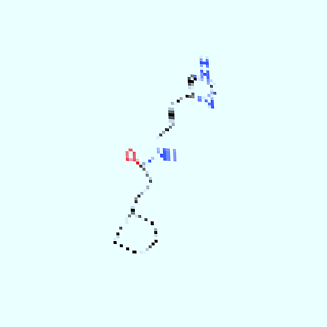 O=C(CCC1CCCCC1)NCC=Cc1c[nH]cn1